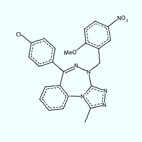 COc1ccc([N+](=O)[O-])cc1CN1N=C(c2ccc(Cl)cc2)c2ccccc2-n2c(C)nnc21